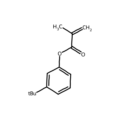 C=C(C)C(=O)Oc1cccc(C(C)(C)C)c1